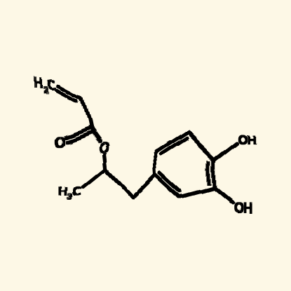 C=CC(=O)OC(C)Cc1ccc(O)c(O)c1